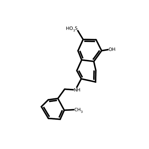 Cc1ccccc1CNc1ccc2c(O)cc(S(=O)(=O)O)cc2c1